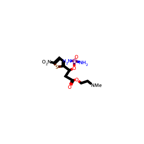 CNCCOC(=O)CC(OP(N)(N)=O)c1ccc([N+](=O)[O-])s1